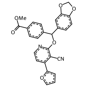 COC(=O)c1ccc(C(Oc2nccc(-c3ccco3)c2C#N)c2ccc3c(c2)OCO3)cc1